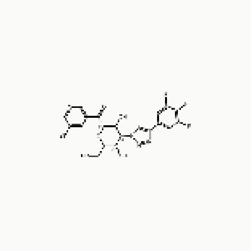 O=C(c1cncc(Cl)c1)[C@H]1OC(CO)[C@H](O)[C@H](n2cc(-c3cc(F)c(F)c(F)c3)nn2)C1O